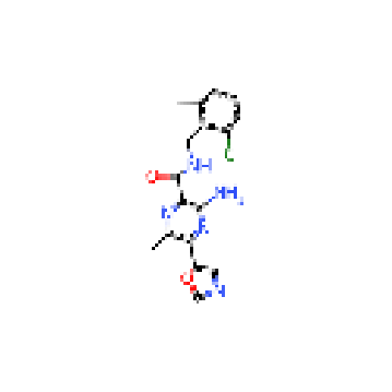 Cc1cccc(Cl)c1CNC(=O)c1nc(C)c(-c2cnco2)nc1N